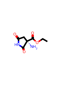 CCOC(=O)[C@]1(N)CC(=O)NC1=O